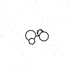 C1=CC2(C3CCCCCCC4CCC[C]3C4)CCCCCCC(=C1)C2